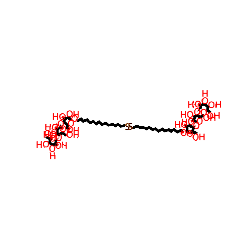 OCC1O[C@H](O[C@H]2C(CO)O[C@@H](O[C@@H]3C(CO)O[C@@H](OCCCCCCCCCCCCCCCCSSCCCCCCCCCCCCCCCCO[C@@H]4OC(CO)[C@@H](O[C@@H]5OC(CO)[C@H](O[C@H]6OC(CO)[C@H](O)C(O)C6O)C(O)C5O)CC4O)C(O)C3O)C(O)C2O)C(O)C(O)[C@H]1O